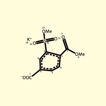 COC(=O)c1ccc(C(=O)[O-])cc1S(=O)(=O)OC.[K+]